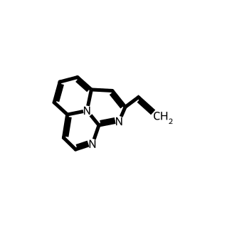 C=CC1=CC2=CC=CC3=CC=NC(=N1)N32